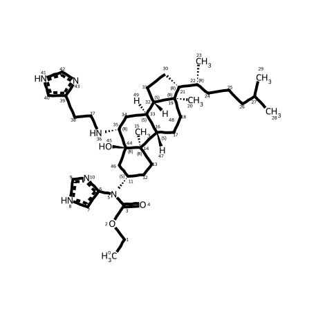 CCOC(=O)N(c1c[nH]cn1)[C@H]1CC[C@]2(C)[C@H]3CC[C@]4(C)[C@@H]([C@H](C)CCCC(C)C)CC[C@H]4[C@@H]3C[C@@H](NCCc3c[nH]cn3)[C@@]2(O)C1